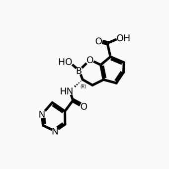 O=C(N[C@H]1Cc2cccc(C(=O)O)c2OB1O)c1cncnc1